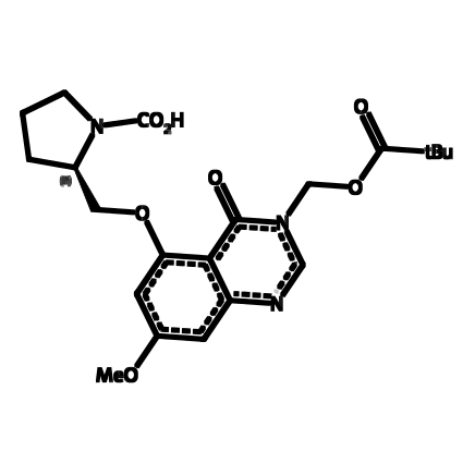 COc1cc(OC[C@H]2CCCN2C(=O)O)c2c(=O)n(COC(=O)C(C)(C)C)cnc2c1